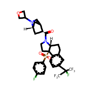 O=C([C@@H]1C[C@H]2CC1=CN2C1COC1)N1CC[C@@]2(S(=O)(=O)c3ccc(F)cc3)c3ccc(C(F)(C(F)(F)F)C(F)(F)F)cc3CC[C@@H]12